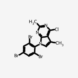 Cc1nc(Cl)c2c(C)cn(-c3c(Br)cc(Br)cc3Br)c2n1